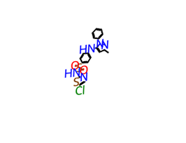 Cc1cc(Nc2ccc(S(=O)(=O)Nc3ncc(Cl)s3)cc2)n(-c2ccccc2)n1